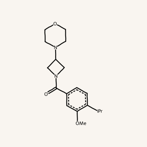 COc1cc(C(=O)N2CC(N3CCOCC3)C2)ccc1C(C)C